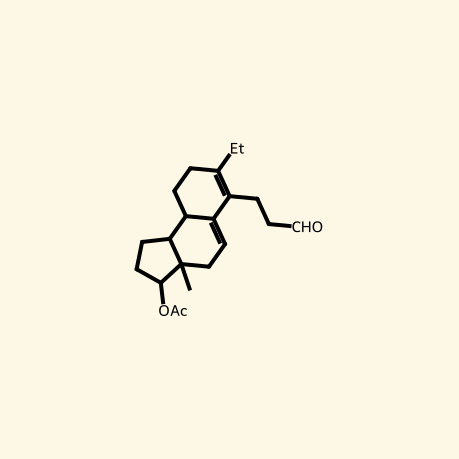 CCC1=C(CCC=O)C2=CCC3(C)C(OC(C)=O)CCC3C2CC1